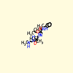 CNCCNC(=O)C(C)(C)/C=C/n1ncc(C(=O)NC(C)C2CC3CCCC(C3)C2)c1OCC(C)C